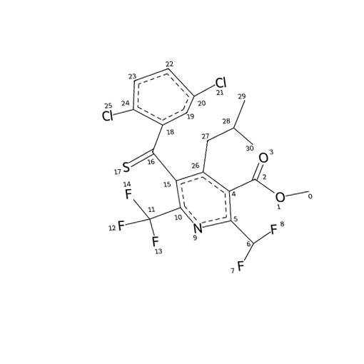 COC(=O)c1c(C(F)F)nc(C(F)(F)F)c(C(=S)c2cc(Cl)ccc2Cl)c1CC(C)C